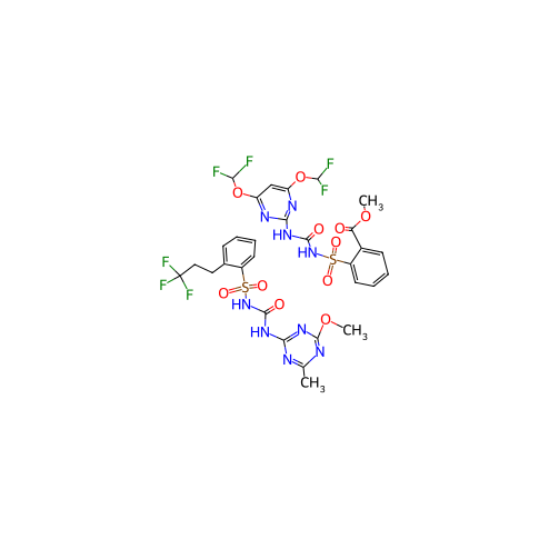 COC(=O)c1ccccc1S(=O)(=O)NC(=O)Nc1nc(OC(F)F)cc(OC(F)F)n1.COc1nc(C)nc(NC(=O)NS(=O)(=O)c2ccccc2CCC(F)(F)F)n1